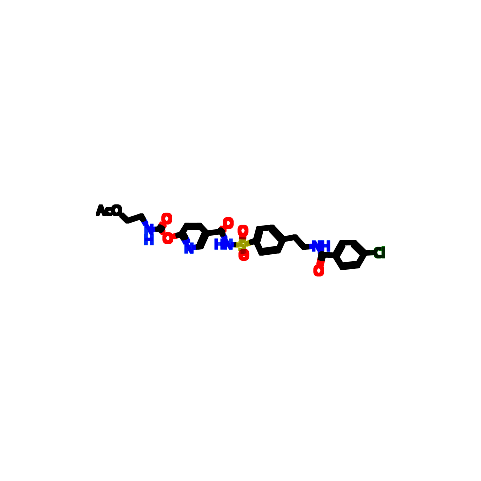 CC(=O)OCCNC(=O)Oc1ccc(C(=O)NS(=O)(=O)c2ccc(CCNC(=O)c3ccc(Cl)cc3)cc2)cn1